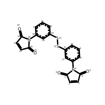 O=C1C=CC(=O)N1c1cccc(SSc2cccc(N3C(=O)C=CC3=O)c2)c1